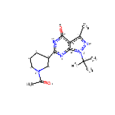 BC(=O)N1CCCC(c2nc3c(c(C)nn3C(C)(C)C)c(=O)[nH]2)C1